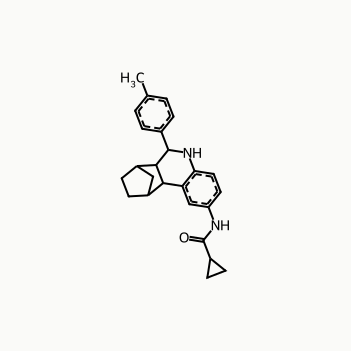 Cc1ccc(C2Nc3ccc(NC(=O)C4CC4)cc3C3C4CCC(C4)C23)cc1